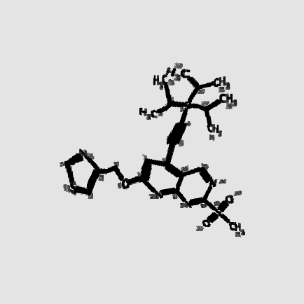 CC(C)[Si](C#Cc1cc(OCc2cscn2)nc2nc(S(C)(=O)=O)ncc12)(C(C)C)C(C)C